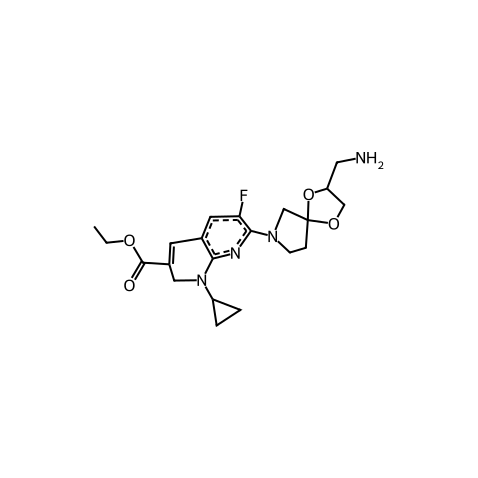 CCOC(=O)C1=Cc2cc(F)c(N3CCC4(C3)OCC(CN)O4)nc2N(C2CC2)C1